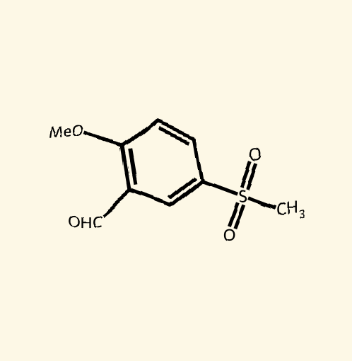 COc1ccc(S(C)(=O)=O)cc1C=O